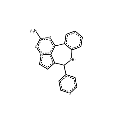 Nc1nc2c3c(ccn3n1)C(c1ccncc1)Nc1ccccc1-2